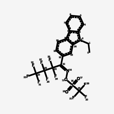 CCn1c2ccccc2c2ccc(C(=NOS(=O)(=O)C(F)(F)F)C(F)(F)C(F)(F)C(F)(F)F)cc21